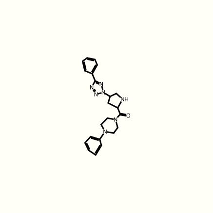 O=C(C1CC(n2nnc(-c3ccccc3)n2)CN1)N1CCN(c2ccccc2)CC1